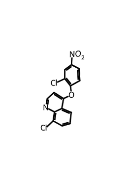 O=[N+]([O-])c1ccc(Oc2ccnc3c(Cl)cccc23)c(Cl)c1